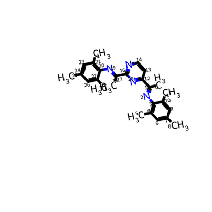 C/C(=N\c1c(C)cc(C)cc1C)c1ccnc(/C(C)=N/c2c(C)cc(C)cc2C)n1